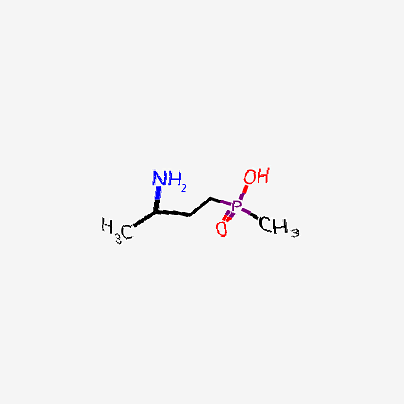 CC(N)CCP(C)(=O)O